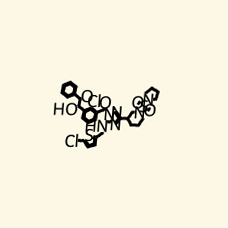 O=C(c1ccccc1)C(O)c1cccc(C(=O)n2nc(C3CCCN(S(=O)(=O)N4CCCC4)C3)nc2NCc2ccc(Cl)s2)c1Cl